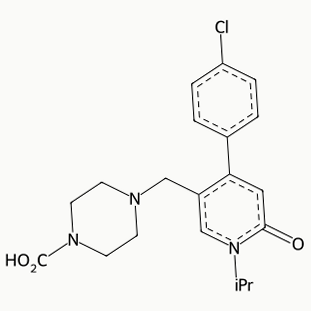 CC(C)n1cc(CN2CCN(C(=O)O)CC2)c(-c2ccc(Cl)cc2)cc1=O